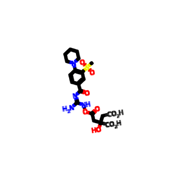 CS(=O)(=O)c1cc(C(=O)N=C(N)NOC(=O)CC(O)(CC(=O)O)C(=O)O)ccc1N1CCCCC1